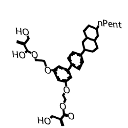 C=C(CO)C(=O)OCCOc1cc(OCCOC(O)C(=C)CO)cc(-c2ccc(C3CCC4CC(CCCCC)CCC4C3)cc2)c1